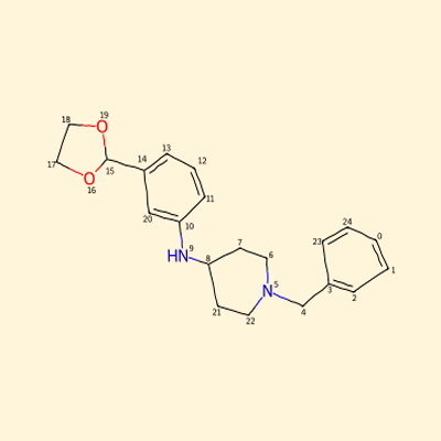 c1ccc(CN2CCC(Nc3cccc(C4OCCO4)c3)CC2)cc1